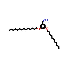 CCCCCCCCCCCCCCOc1cc(CN)cc(OCCCCCCCCCCC)c1